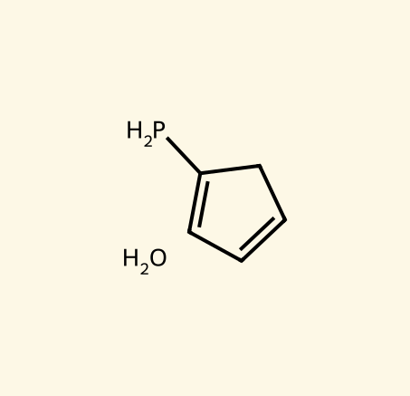 O.PC1=CC=CC1